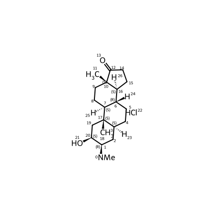 CN[C@@H]1C[C@@H]2CC[C@@H]3[C@H](CC[C@]4(C)C(=O)CC[C@@H]34)[C@@]2(C)C[C@@H]1O.Cl